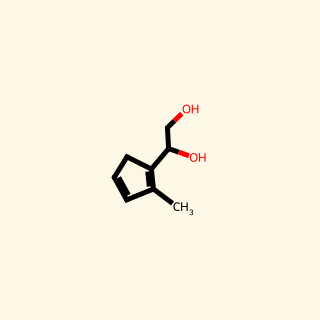 CC1=C(C(O)CO)CC=C1